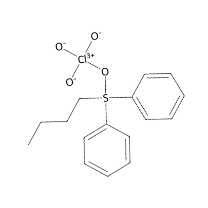 CCCCS(O[Cl+3]([O-])([O-])[O-])(c1ccccc1)c1ccccc1